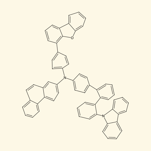 c1ccc(-c2ccccc2-n2c3ccccc3c3ccccc32)c(-c2ccc(N(c3ccc(-c4cccc5c4oc4ccccc45)cc3)c3ccc4c(ccc5ccccc54)c3)cc2)c1